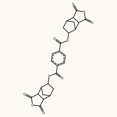 O=C(OC1CC2CC1C1C(=O)OC(=O)C21)c1ccc(C(=O)OC2CC3CC2C2C(=O)OC(=O)C32)cc1